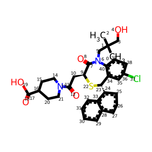 CC(C)(CO)CN1C(=O)[C@H](CC(=O)N2CCC(C(=O)O)CC2)S[C@@H](c2cccc3ccccc23)c2cc(Cl)ccc21